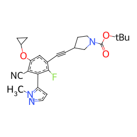 Cn1nccc1-c1c(F)c(C#CC2CCN(C(=O)OC(C)(C)C)C2)cc(OC2CC2)c1C#N